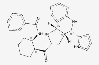 O=C(N[C@@H]1CCCC[C@@H]1C(=O)C1C[C@H]2[C@@H](c3ccc[nH]3)Nc3ccccc3[C@H]2N1)c1ccccc1